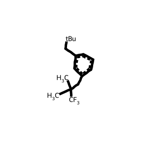 CC(C)(C)Cc1cccc(CC(C)(C)C(F)(F)F)c1